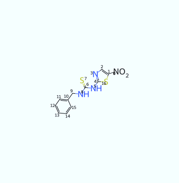 O=[N+]([O-])c1cnc(NC(=S)NCc2ccccc2)s1